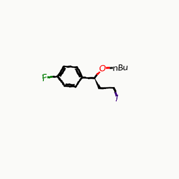 CCCCO[C@@H](CCI)c1ccc(F)cc1